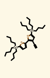 C#Cc1c[c]([Sn]([CH2]CCC)([CH2]CCC)[CH2]CCC)sc1-c1cc[c]([Sn]([CH2]CCC)([CH2]CCC)[CH2]CCC)s1